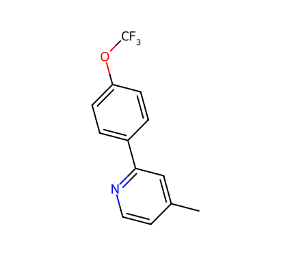 Cc1ccnc(-c2ccc(OC(F)(F)F)cc2)c1